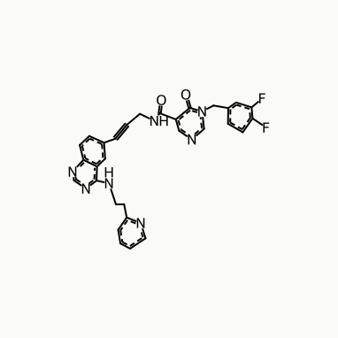 O=C(NCC#Cc1ccc2ncnc(NCCc3ccccn3)c2c1)c1cncn(Cc2ccc(F)c(F)c2)c1=O